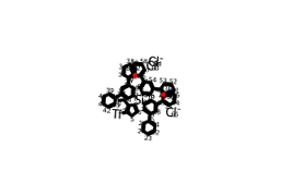 CCC1=[C]([Ti+3])CC=C1[Si](c1cc(-c2ccccc2)cc(-c2ccccc2)c1)(c1cc(-c2ccccc2)cc(-c2ccccc2)c1)c1cc(-c2ccccc2)cc(-c2ccccc2)c1.[Cl-].[Cl-].[Cl-]